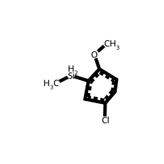 COc1ccc(Cl)cc1[SiH2]C